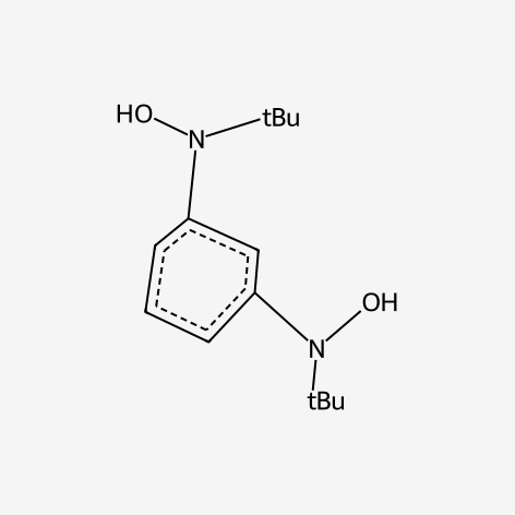 CC(C)(C)N(O)c1cccc(N(O)C(C)(C)C)c1